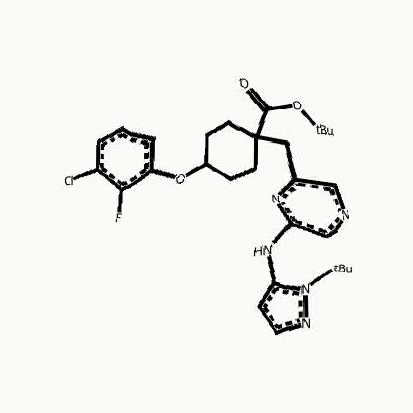 CC(C)(C)OC(=O)C1(Cc2cncc(Nc3ccnn3C(C)(C)C)n2)CCC(Oc2cccc(Cl)c2F)CC1